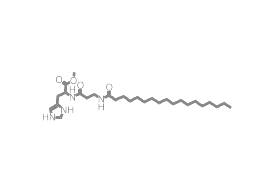 CCCCCCCCCCCCCCCCCC(=O)NCCC(=O)NC(CC1=CNCN1)C(=O)OC